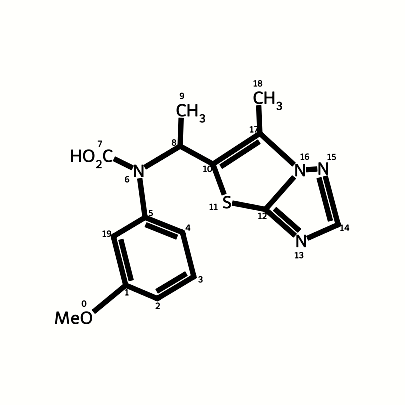 COc1cccc(N(C(=O)O)C(C)c2sc3ncnn3c2C)c1